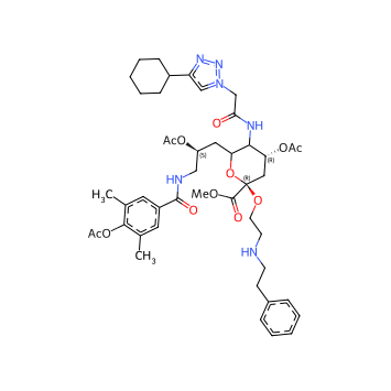 COC(=O)[C@@]1(OCCNCCc2ccccc2)C[C@@H](OC(C)=O)C(NC(=O)Cn2cc(C3CCCCC3)nn2)C(C[C@@H](CNC(=O)c2cc(C)c(OC(C)=O)c(C)c2)OC(C)=O)O1